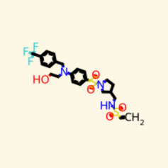 C=CS(=O)(=O)NCC1CCN(S(=O)(=O)c2ccc(N(CCO)Cc3ccc(C(F)(F)F)cc3)cc2)C1